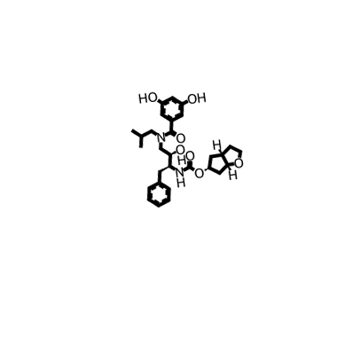 CC(C)CN(C[C@@H](O)[C@H](Cc1ccccc1)NC(=O)O[C@@H]1C[C@@H]2CCO[C@@H]2C1)C(=O)c1cc(O)cc(O)c1